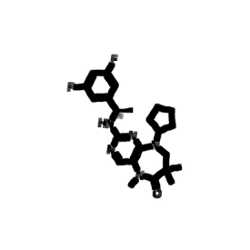 C[C@@H](Nc1ncc2c(n1)N(C1CCCC1)CC(C)(C)C(=O)N2C)c1cc(F)cc(F)c1